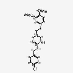 COc1ccc(CCN2CN=C(SCc3ccc(Cl)cc3)NC2)cc1OC